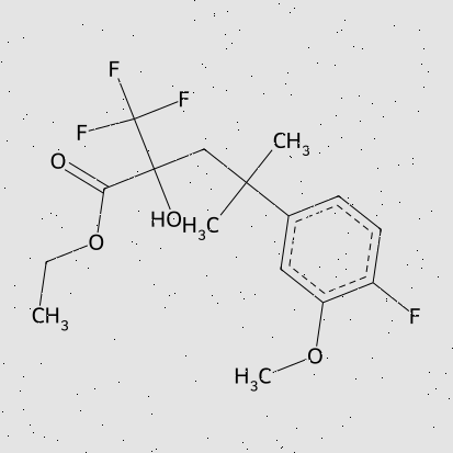 CCOC(=O)C(O)(CC(C)(C)c1ccc(F)c(OC)c1)C(F)(F)F